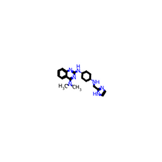 CN(C)c1nc(N[C@H]2CC[C@@H](NCc3ncc[nH]3)CC2)nc2ccccc12